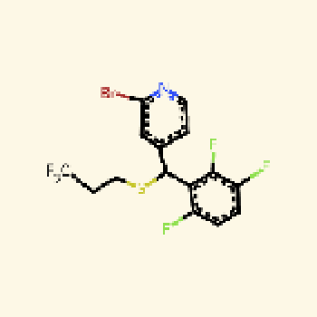 Fc1ccc(F)c(C(SCCC(F)(F)F)c2ccnc(Br)c2)c1F